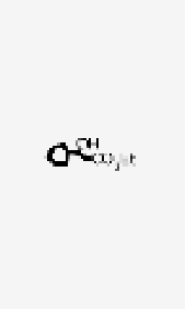 CCOC(=O)C[C@H](O)C1CCCCC1